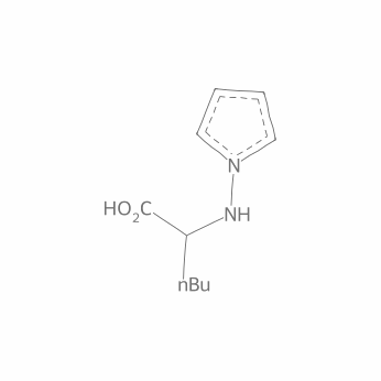 CCCCC(Nn1cccc1)C(=O)O